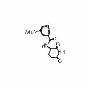 CNc1cccc(C(=O)NC2CCC(=O)NC2=O)c1